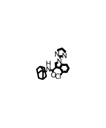 O=C(NC12CC3CC(CC(C3)C1)C2)c1cn(-c2ncccn2)c2cccc(Cl)c12